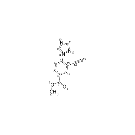 COC(=O)c1ccc(-n2cncn2)c(C#N)c1